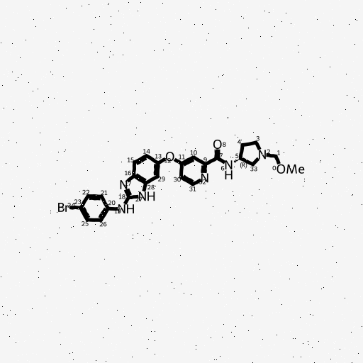 COCN1CC[C@@H](NC(=O)c2cc(Oc3ccc4nc(Nc5ccc(Br)cc5)[nH]c4c3)ccn2)C1